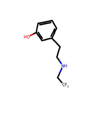 Oc1cccc(CCNCC(F)(F)F)c1